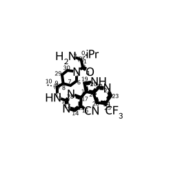 CC(C)[C@@H](N)C(=O)N1CCC([C@@H](C)Nc2ncc(C#N)c(-c3c[nH]c4ncc(C(F)(F)F)cc34)n2)CC1